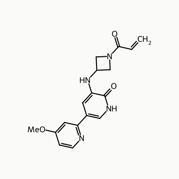 C=CC(=O)N1CC(Nc2cc(-c3cc(OC)ccn3)c[nH]c2=O)C1